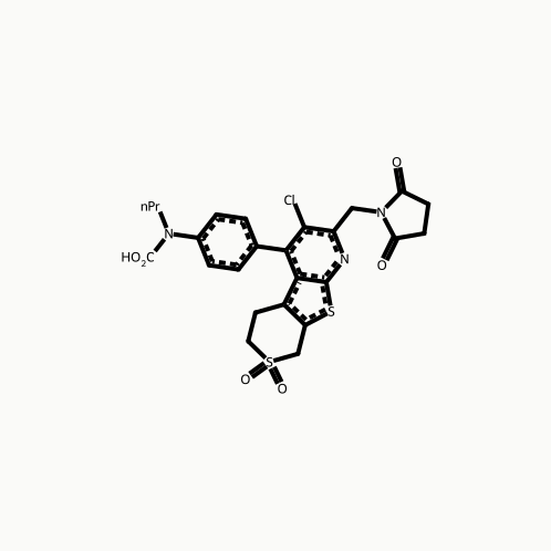 CCCN(C(=O)O)c1ccc(-c2c(Cl)c(CN3C(=O)CCC3=O)nc3sc4c(c23)CCS(=O)(=O)C4)cc1